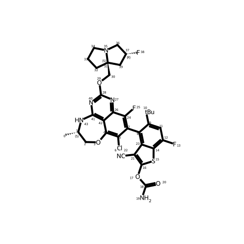 C[C@H]1COc2c(Cl)c(-c3c(C(C)(C)C)cc(F)c4sc(OC(N)=O)c(C#N)c34)c(F)c3nc(OC[C@@]45CCCN4C[C@H](F)C5)nc(c23)N1